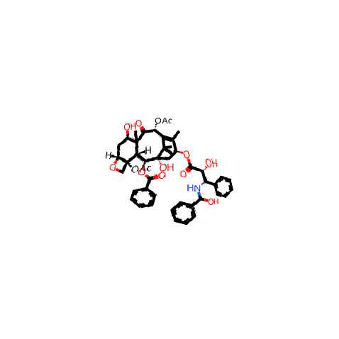 CC(=O)O[C@H]1C(=O)C2(C)C(O)C[C@H]3OC[C@@]3(OC(C)=O)[C@H]2[C@H](OC(=O)c2ccccc2)[C@]2(O)C[C@H](OC(=O)[C@H](O)[C@@H](NC(O)c3ccccc3)c3ccccc3)C(C)=C1C2(C)C